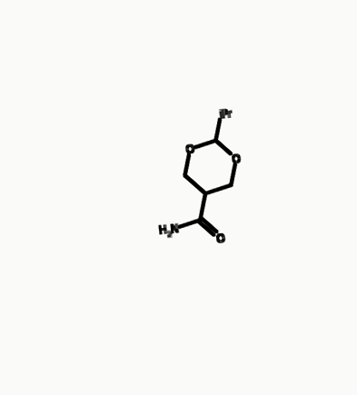 CC(C)C1OCC(C(N)=O)CO1